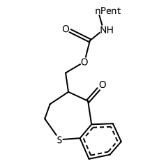 CCCCCNC(=O)OCC1CCSc2ccccc2C1=O